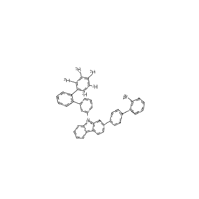 [2H]c1c([2H])c([2H])c(-c2ccccc2-c2cccc(-n3c4ccccc4c4ccc(-c5ccc(-c6ccccc6Br)cc5)cc43)c2)c([2H])c1[2H]